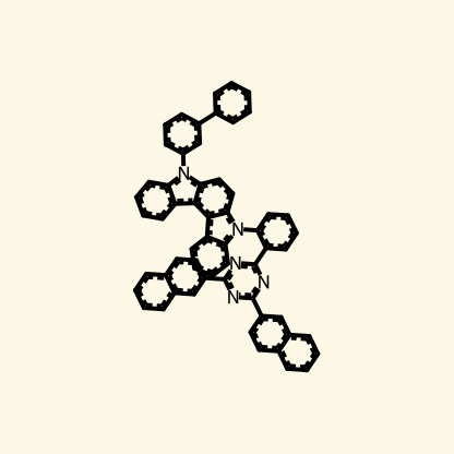 c1ccc(-c2cccc(-n3c4ccccc4c4c5c6ccccc6n(-c6ccccc6-c6nc(-c7ccc8ccccc8c7)nc(-c7ccc8ccccc8c7)n6)c5ccc43)c2)cc1